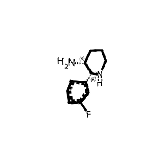 N[C@@H]1CCCN[C@@H]1c1cccc(F)c1